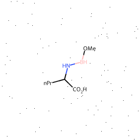 CCCC(NBOC)C(=O)O